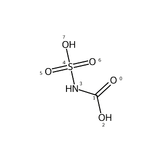 O=C(O)NS(=O)(=O)O